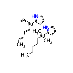 CC=CC=[CH][Ru]([CH2]CC)[c]1ccc[nH]1.CC=CC=[CH][Ru]([CH3])([CH3])[c]1ccc[nH]1